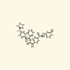 O=C1Nc2ccc(C(=O)NCc3cccc(Cl)c3)cc2/C1=C(/Nc1ccc(CN2CCCC2)cc1)c1ccccc1